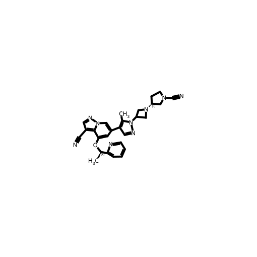 Cc1c(-c2cc(O[C@H](C)c3ccccn3)c3c(C#N)cnn3c2)cnn1C1CN([C@@H]2CCN(C#N)C2)C1